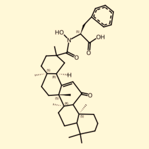 CC1(C(=O)N(O)[C@@H](Cc2ccccc2)C(=O)O)CC[C@]2(C)CC[C@]3(C)C(=CC(=O)C4[C@@]5(C)CCCC(C)(C)C5CC[C@]43C)[C@@H]2C1